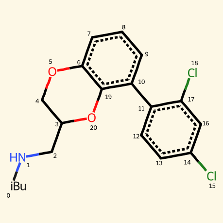 CCC(C)NCC1COc2cccc(-c3ccc(Cl)cc3Cl)c2O1